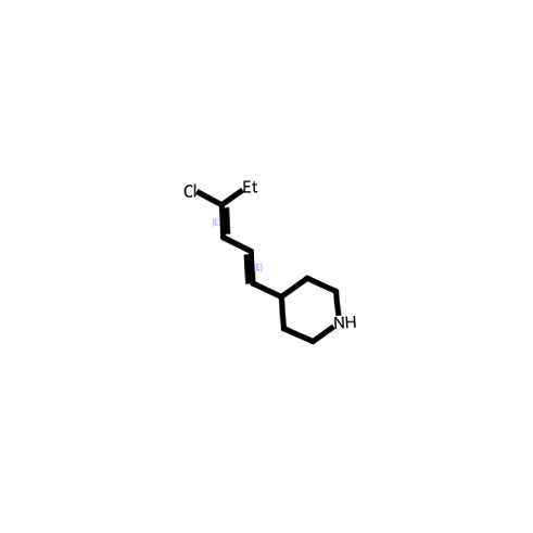 CC/C(Cl)=C\C=C\C1CCNCC1